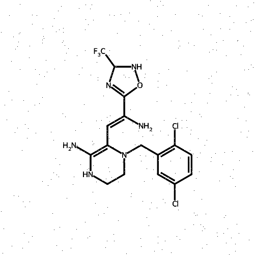 NC1=C(/C=C(\N)C2=NC(C(F)(F)F)NO2)N(Cc2cc(Cl)ccc2Cl)CCN1